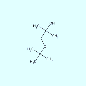 CC(C)(O)COC(C)(C)C